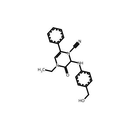 CCN1C=C(c2ccccc2)N(C#N)C(Nc2ccc(CO)cc2)C1=O